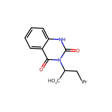 CC(C)CC(C(=O)O)n1c(=O)[nH]c2ccccc2c1=O